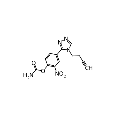 C#CCCn1cnnc1-c1ccc(OC(N)=O)c([N+](=O)[O-])c1